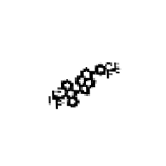 FC(F)(F)Oc1ccc(-c2ccc3ccc4c(-c5c6ccccc6c(C(F)(F)C(F)(F)F)c6ccccc56)ccc5ccc2c3c54)cc1